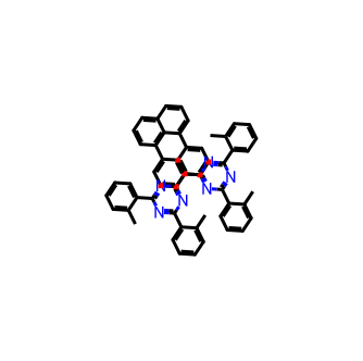 Cc1ccccc1-c1nc(-c2cccc(-c3cccc4cccc(-c5cccc(-c6nc(-c7ccccc7C)nc(-c7ccccc7C)n6)c5)c34)c2)nc(-c2ccccc2C)n1